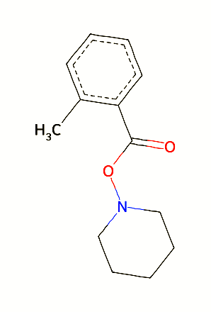 Cc1ccccc1C(=O)ON1CCCCC1